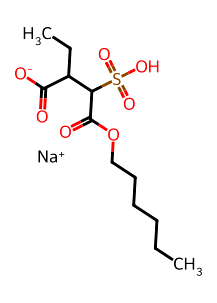 CCCCCCOC(=O)C(C(CC)C(=O)[O-])S(=O)(=O)O.[Na+]